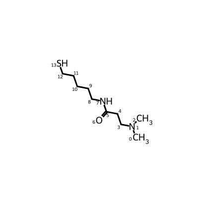 CN(C)CCC(=O)NCCCCCS